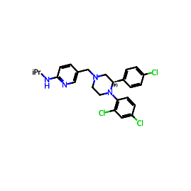 CC(C)Nc1ccc(CN2CCN(c3ccc(Cl)cc3Cl)[C@H](c3ccc(Cl)cc3)C2)cn1